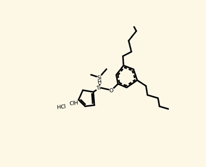 CCCCCc1cc(CCCCC)cc([O][Ti]([C]2=CC=CC2)[SiH](C)C)c1.Cl.Cl